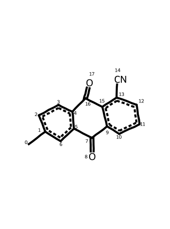 Cc1ccc2c(c1)C(=O)c1cccc(C#N)c1C2=O